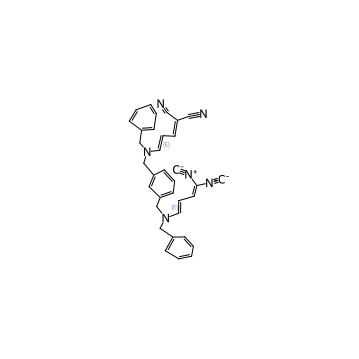 [C-]#[N+]C(=C/C=C/N(Cc1ccccc1)Cc1cccc(CN(/C=C/C=C(C#N)C#N)Cc2ccccc2)c1)[N+]#[C-]